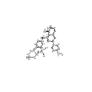 Cc1ncc(-c2cc3cc[nH]c(=O)c3c(Nc3ccc(N4CCNCC4)c(C(F)(F)F)c3)n2)cn1